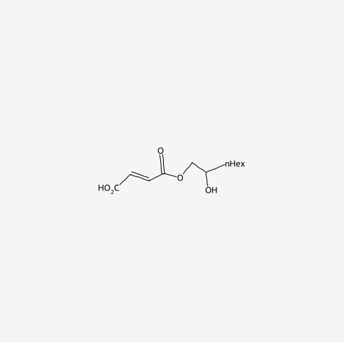 CCCCCCC(O)COC(=O)C=CC(=O)O